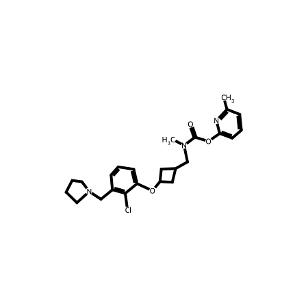 Cc1cccc(OC(=O)N(C)CC2CC(Oc3cccc(CN4CCCC4)c3Cl)C2)n1